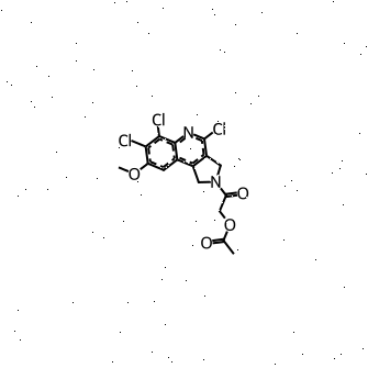 COc1cc2c3c(c(Cl)nc2c(Cl)c1Cl)CN(C(=O)COC(C)=O)C3